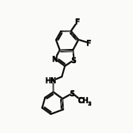 CSc1ccccc1NCc1nc2ccc(F)c(F)c2s1